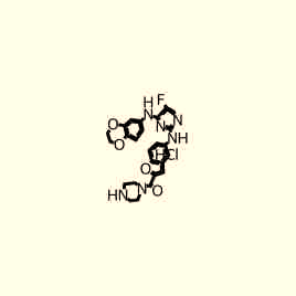 Cl.O=C(c1cc2cc(Nc3ncc(F)c(Nc4ccc5c(c4)OCCO5)n3)ccc2o1)N1CCNCC1